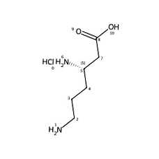 Cl.NCCC[C@H](N)CC(=O)O